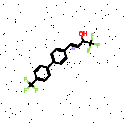 OC(/C=C/c1ccc(-c2ccc(C(F)(F)F)cc2)cc1)C(F)(F)F